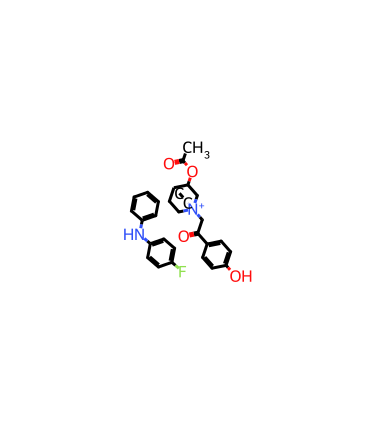 CC(=O)OC1C[N+]2(CC(=O)c3ccc(O)cc3)CCC1CC2.Fc1ccc(Nc2ccccc2)cc1